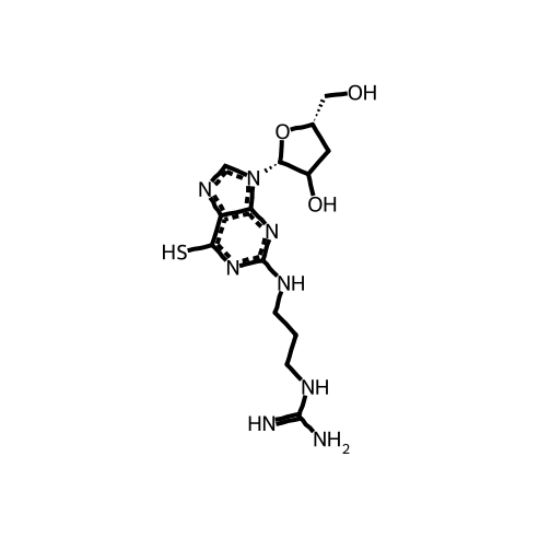 N=C(N)NCCCNc1nc(S)c2ncn([C@@H]3O[C@H](CO)CC3O)c2n1